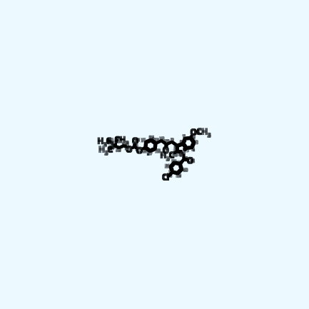 COc1ccc2c(c1)c(CC(=O)Cc1ccc(OC(=O)OCC[Si](C)(C)C)cc1)c(C)n2C(=O)c1ccc(Cl)cc1